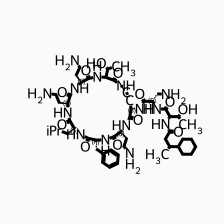 CC(C)C[C@@H]1NC(=O)[C@@H](Cc2ccccc2)NC(=O)[C@H](CCN)NC(=O)[C@@H](NC(=O)[C@H](CN)NC(=O)C(NC(=O)CC(C)C2CCCCC2)C(C)O)CCNC(=O)C(C(C)O)NC(=O)[C@H](CCN)NC(=O)[C@H](CCN)NC1=O